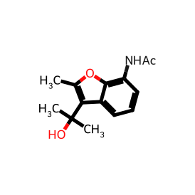 CC(=O)Nc1cccc2c(C(C)(C)O)c(C)oc12